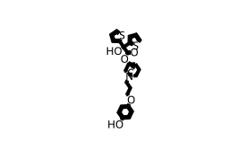 O=C(OC1C[N+]2(CCCOc3ccc(O)cc3)CCC1CC2)C(O)(c1cccs1)c1cccs1